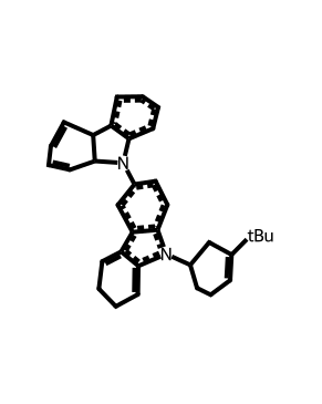 CC(C)(C)C1=CCCC(n2c3c(c4cc(N5c6ccccc6C6C=CC=CC65)ccc42)=CCCC=3)C1